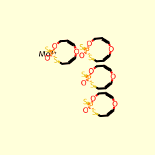 [Mo+4].[O-]P1(=S)OCC=COC=CCS1.[O-]P1(=S)OCC=COC=CCS1.[O-]P1(=S)OCC=COC=CCS1.[O-]P1(=S)OCC=COC=CCS1